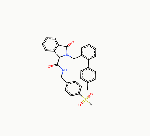 Cc1ccc(-c2ccccc2CN2C(=O)c3ccccc3C2C(=O)NCc2ccc(S(C)(=O)=O)cc2)cc1